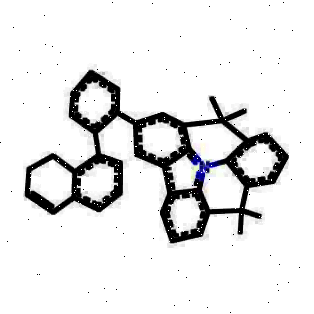 CC1(C)c2cccc3c2-n2c4c1cccc4c1cc(-c4ccccc4-c4cccc5c4CCC=C5)cc(c12)C3(C)C